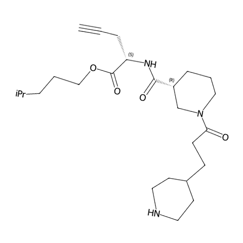 C#CC[C@H](NC(=O)[C@@H]1CCCN(C(=O)CCC2CCNCC2)C1)C(=O)OCCCC(C)C